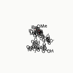 CC[C@H](C)[C@H]([C@@H](CC(=O)N1CCC[C@H]1[C@H](OC)[C@@H](C)C(=O)N[C@H](C)[C@@H](O)c1ccccc1)OC)N(C)C(=O)[C@@H](NC(=O)[C@H](C(C)C)N(C)C(=O)OCc1ccc(NC(=O)[C@H](CCCNC(N)=O)NC(=O)[C@@H](NC(=O)CC[C@H](NC(=O)c2ccc(C(=O)C(C[S+]([O-])c3ccc(C)cc3)CS(=O)(=O)c3ccc(C)cc3)cc2)C(=O)NCCO)C(C)C)cc1)C(C)C